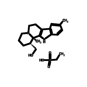 CCS(=O)(=O)O.Cc1ccc2[nH]c3c(c2c1)CCN1CCC[C@@H](CO)[C@]31C